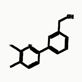 [CH2]c1nc(-c2cccc(CO)c2)ccc1C